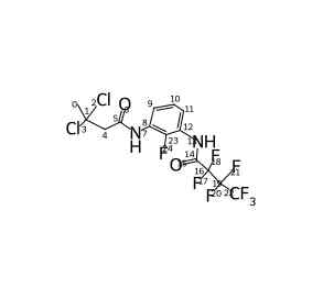 CC(Cl)(Cl)CC(=O)Nc1cccc(NC(=O)C(F)(F)C(F)(F)C(F)(F)F)c1F